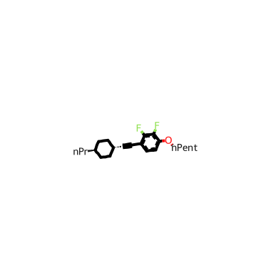 CCCCCOc1ccc(C#C[C@H]2CC[C@H](CCC)CC2)c(F)c1F